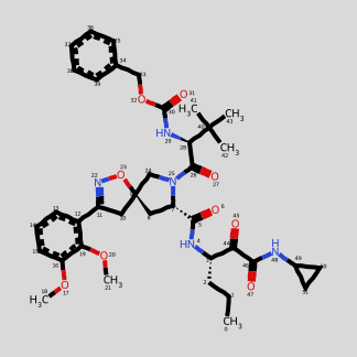 CCC[C@H](NC(=O)[C@@H]1C[C@]2(CC(c3cccc(OC)c3OC)=NO2)CN1C(=O)[C@@H](NC(=O)OCc1ccccc1)C(C)(C)C)C(=O)C(=O)NC1CC1